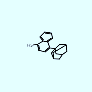 Sc1ccc(C23CC4CC(CC(C4)C2)C3)c2ccccc12